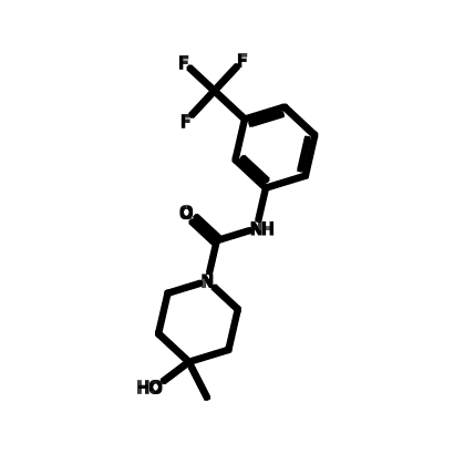 CC1(O)CCN(C(=O)Nc2cccc(C(F)(F)F)c2)CC1